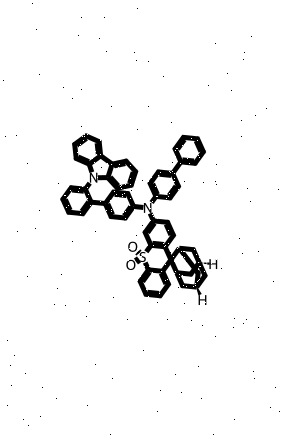 O=S1(=O)c2ccccc2C2(c3ccc(N(c4ccc(-c5ccccc5)cc4)c4ccc(-c5ccccc5-n5c6ccccc6c6ccccc65)cc4)cc31)C1C[C@H]3CC2C[C@@H](C1)C3